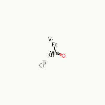 [Cr].[KH].[O]=[Mn][Fe].[Ti].[V]